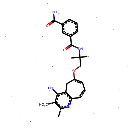 Cc1nc2c(c(N)c1C(=O)O)CC(OCC(C)(C)NC(=O)c1cccc(C(N)=O)c1)=CC=C2